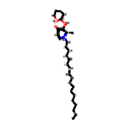 CCCCCCCCCCCCCCCCCCn1ccc(=O)c(OC2CCCCO2)c1C